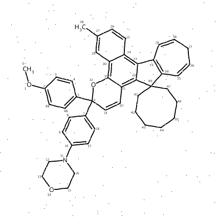 COc1ccc(C2(c3ccc(N4CCOCC4)cc3)C=Cc3c4c(c5ccc(C)cc5c3O2)C2=C(C=CCC=C2)C42CCCCCCC2)cc1